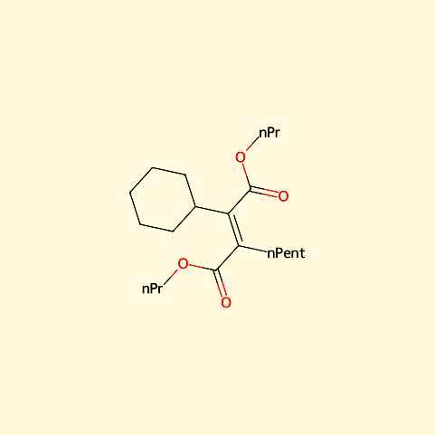 CCCCCC(C(=O)OCCC)=C(C(=O)OCCC)C1CCCCC1